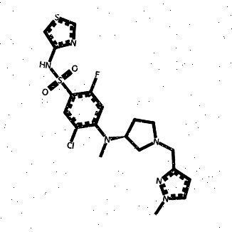 CN(c1cc(F)c(S(=O)(=O)Nc2cscn2)cc1Cl)[C@H]1CCN(Cc2ccn(C)n2)C1